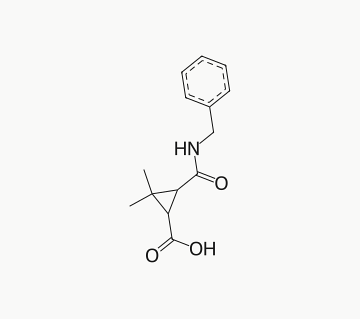 CC1(C)C(C(=O)O)C1C(=O)NCc1ccccc1